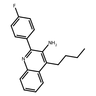 CCCCc1c(N)c(-c2ccc(F)cc2)nc2ccccc12